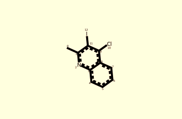 Cc1nc2ccccc2c(Cl)c1I